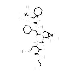 CCCNC(=O)C(=O)C(CCC)NC(=O)[C@@H]1[C@@H]2C(CN1C(=O)[C@@H](NC(=O)NC1(CS(=O)(=O)C(C)(C)C)CCCCC1)C1CCCCC1)C2(C)C